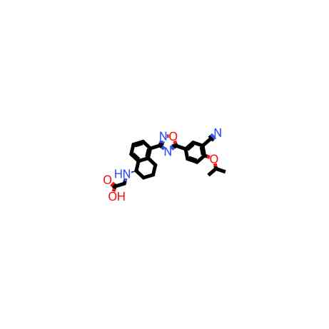 CC(C)Oc1ccc(-c2nc(-c3cccc4c3CCC[C@@H]4NCC(=O)O)no2)cc1C#N